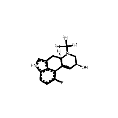 [2H]C([2H])([2H])N1C[C@@H](O)C=C2c3c(F)ccc4[nH]cc(c34)C[C@H]21